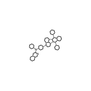 c1ccc(-c2c3c(c(-c4ccccc4)c4ccccc24)-c2ccc(-c4ccc(N(c5ccccc5)c5cc6ccccc6cn5)cc4)c4cccc-3c24)cc1